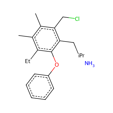 CCc1c(C)c(C)c(CCl)c(CC(C)C)c1Oc1ccccc1.N